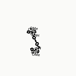 COC(=O)N[C@@H](C(=O)N1CCC[C@H]1c1nc2ccc(C#Cc3ccc(-c4cnc([C@@H]5CCCN5C(=O)[C@H](NC(=O)OC)c5ccccc5)o4)cc3)cc2[nH]1)c1ccccc1